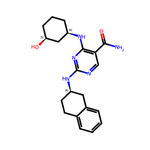 NC(=O)c1cnc(N[C@@H]2CCc3ccccc3C2)nc1N[C@@H]1CCC[C@H](O)C1